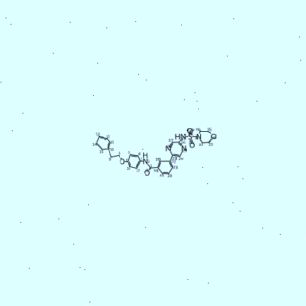 O=C(Nc1ccc(OCCc2ccccc2)cc1)c1cccc(-c2cnc(NS(=O)(=O)N3CCOCC3)cn2)c1